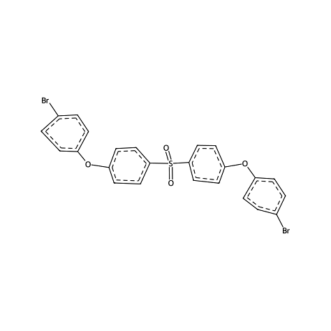 O=S(=O)(c1ccc(Oc2ccc(Br)cc2)cc1)c1ccc(Oc2ccc(Br)cc2)cc1